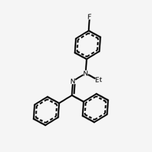 CCN(N=C(c1ccccc1)c1ccccc1)c1ccc(F)cc1